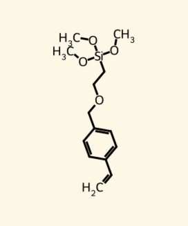 C=Cc1ccc(COCC[Si](OC)(OC)OC)cc1